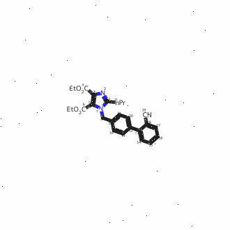 CCCc1nc(C(=O)OCC)c(C(=O)OCC)n1Cc1ccc(-c2ccccc2C#N)cc1